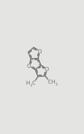 Cc1oc2c(oc3ccoc32)c1C